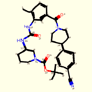 Cc1ccc(C(=O)N2CCC(c3ccc(C#N)cc3)CC2)cc1NC(=O)NC1CCCN(C(=O)OC(C)(C)C)C1